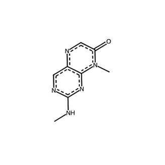 CNc1ncc2ncc(=O)n(C)c2n1